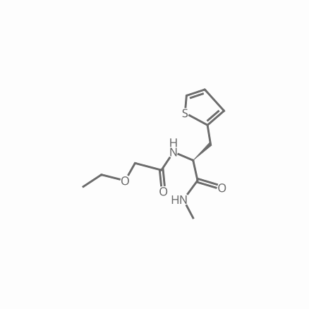 CCOCC(=O)N[C@@H](Cc1cccs1)C(=O)NC